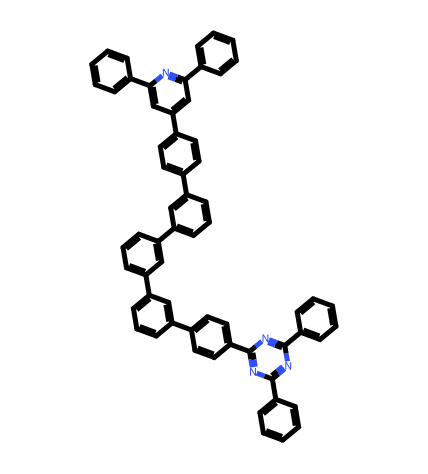 c1ccc(-c2cc(-c3ccc(-c4cccc(-c5cccc(-c6cccc(-c7ccc(-c8nc(-c9ccccc9)nc(-c9ccccc9)n8)cc7)c6)c5)c4)cc3)cc(-c3ccccc3)n2)cc1